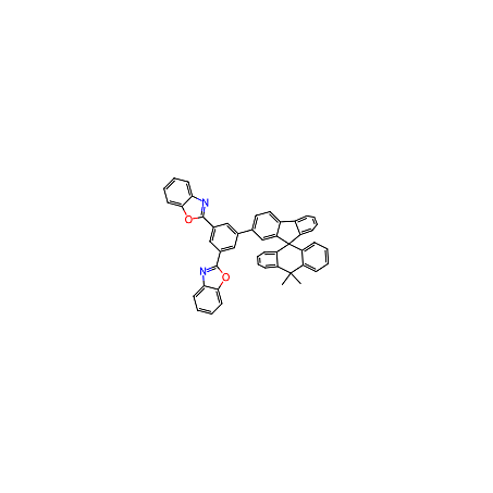 CC1(C)c2ccccc2C2(c3ccccc3-c3ccc(-c4cc(-c5nc6ccccc6o5)cc(-c5nc6ccccc6o5)c4)cc32)c2ccccc21